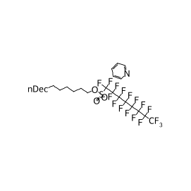 CCCCCCCCCCCCCCCCOS(=O)(=O)C(F)(F)C(F)(F)C(F)(F)C(F)(F)C(F)(F)C(F)(F)C(F)(F)C(F)(F)F.c1ccncc1